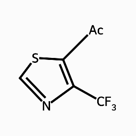 CC(=O)c1scnc1C(F)(F)F